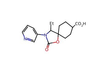 CCC1N(c2cccnc2)C(=O)OC12CCC(C(=O)O)CC2